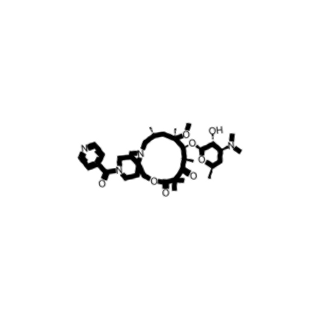 CO[C@]1(C)C[C@@H](C)CN(C)C2(CCN(C(=O)c3ccncc3)CC2)COC(=O)C(C)(C)C(=O)[C@H](C)[C@H]1O[C@@H]1O[C@H](C)C[C@H](N(C)C)[C@H]1O